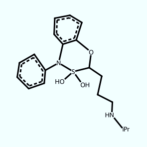 CC(C)NCCCC1Oc2ccccc2N(c2ccccc2)S1(O)O